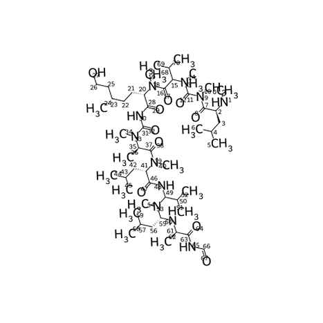 CN[C@@H](CC(C)C)C(=O)N(C)C(=O)N(C)C(C(=O)N(C)[C@@H](CC[C@H](C)CCO)C(=O)NC(=O)N(C)[C@H](C)C(=O)N(C)[C@@H](CC(C)C)C(=O)NC(C(C)C)N(C)[C@@H](CC(C)C)N[C@H](C)C(=O)NC=O)C(C)C